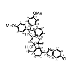 COc1ccc(C(NC2=NC(C)(c3cc(-c4nc5ccc(Cl)cc5o4)ccc3F)C(F)(F)CO2)(c2ccccc2)c2ccc(OC)cc2)cc1